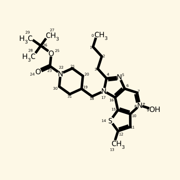 CCCCc1nc2c[n+](O)c3cc(C)sc3c2n1CC1CCN(C(=O)OC(C)(C)C)CC1